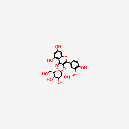 COc1cc(-c2oc3cc(O)cc(O)c3c(=O)c2O[C@@H]2O[C@H](CO)[C@@H](O)[C@H](O)[C@H]2O)ccc1O